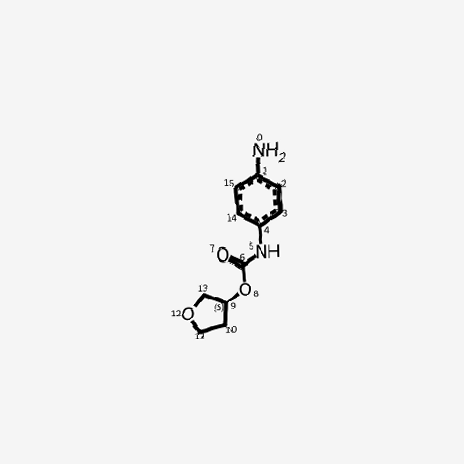 Nc1ccc(NC(=O)O[C@H]2CCOC2)cc1